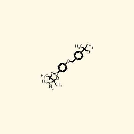 CCC(C)(C)c1ccc(COc2ccc(B3OC(C)(C)C(C)(C)O3)cc2)cc1